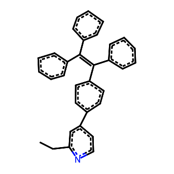 CCc1cc(-c2ccc(C(=C(c3ccccc3)c3ccccc3)c3ccccc3)cc2)ccn1